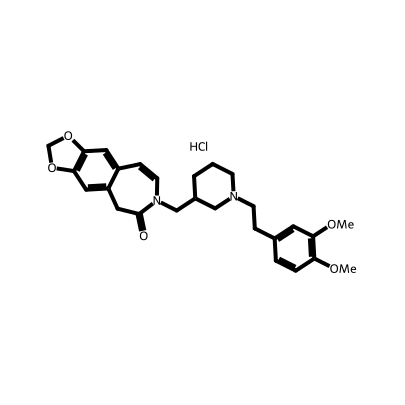 COc1ccc(CCN2CCCC(CN3C=Cc4cc5c(cc4CC3=O)OCO5)C2)cc1OC.Cl